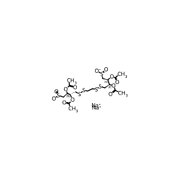 CC(=O)O[C@@H](CSSCCSSC[C@H](OC(C)=O)[C@@H](CS(=O)[O-])OC(C)=O)[C@@H](CS(=O)[O-])OC(C)=O.[Na+].[Na+]